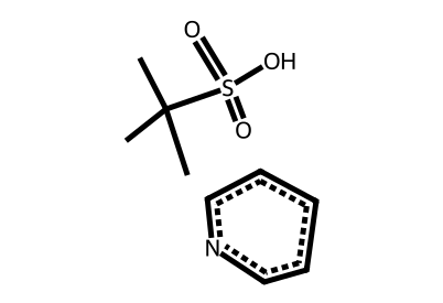 CC(C)(C)S(=O)(=O)O.c1ccncc1